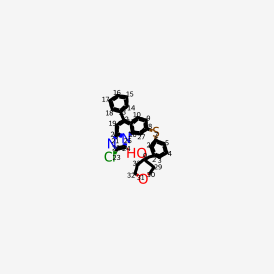 OC1(c2cccc(Sc3ccc4c(-c5ccccc5)cc5nc(Cl)cn5c4c3)c2)CCOCC1